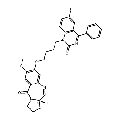 COc1cc2c(cc1OCCCCn1c(=O)nc(-c3ccccc3)c3cc(F)ccc31)N=C[C@@H]1CCCN1C2=O